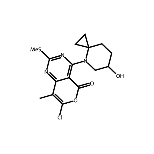 CSc1nc(N2CC(O)CCC23CC3)c2c(=O)oc(Cl)c(C)c2n1